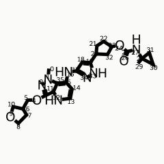 CN1N=C(OCC2CCOC2)C2NC=CC(Nc3cc(C4CCC(OC(=O)NC5(C)CC5)C4)[nH]n3)=C21